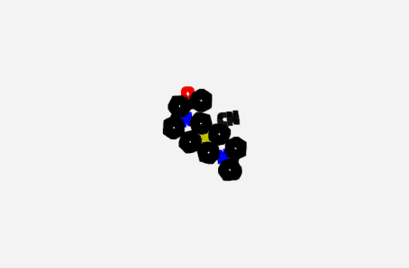 N#Cc1cccc(S(c2ccccc2)(c2cccc(-n3c4ccc#cc4c4ccccc43)c2)c2cccc(-n3c4ccccc4c4ccc5oc6ccccc6c5c43)c2)c1